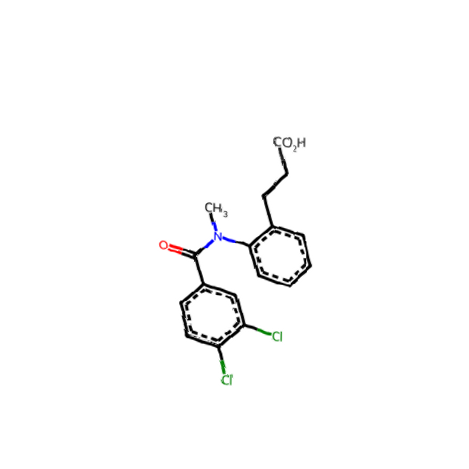 CN(C(=O)c1ccc(Cl)c(Cl)c1)c1ccccc1CCC(=O)O